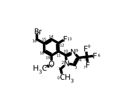 CCn1cc(C(F)(F)F)nc1-c1c(F)cc(CBr)cc1OC